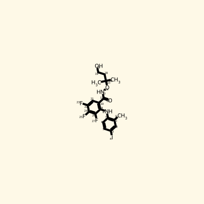 Cc1cc(I)ccc1Nc1c(C(=O)NOC(C)(C)CCO)cc(F)c(F)c1F